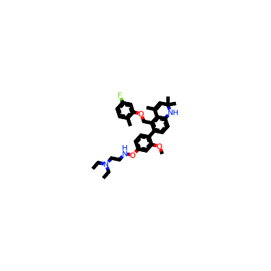 CCN(CC)CCNOc1ccc(-c2ccc3c(c2COc2cc(F)ccc2C)C(C)=CC(C)(C)N3)c(OC)c1